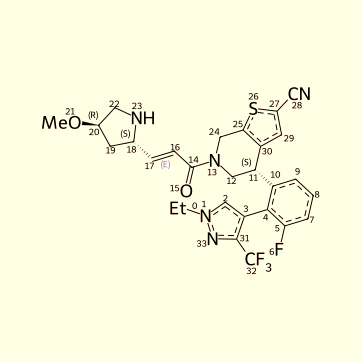 CCn1cc(-c2c(F)cccc2[C@@H]2CN(C(=O)/C=C/[C@@H]3C[C@@H](OC)CN3)Cc3sc(C#N)cc32)c(C(F)(F)F)n1